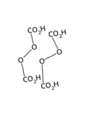 O=C(O)OOC(=O)O.O=C(O)OOC(=O)O